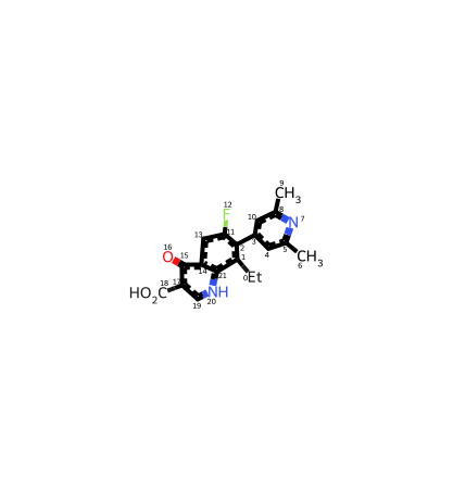 CCc1c(-c2cc(C)nc(C)c2)c(F)cc2c(=O)c(C(=O)O)c[nH]c12